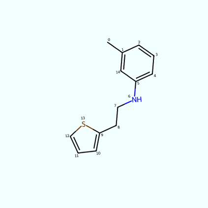 Cc1cccc(NCCc2cccs2)c1